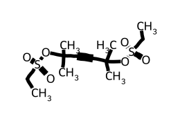 CCS(=O)(=O)OC(C)(C)C#CC(C)(C)OS(=O)(=O)CC